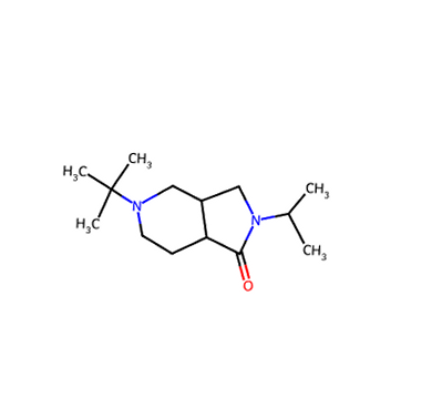 CC(C)N1CC2CN(C(C)(C)C)CCC2C1=O